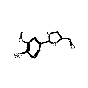 COc1cc(C2OCC(C=O)O2)ccc1O